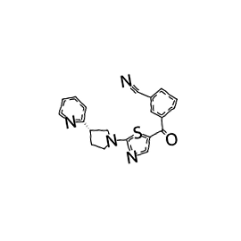 N#Cc1cccc(C(=O)c2cnc(N3CC[C@H](c4ccccn4)C3)s2)c1